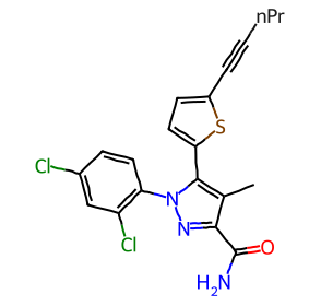 CCCC#Cc1ccc(-c2c(C)c(C(N)=O)nn2-c2ccc(Cl)cc2Cl)s1